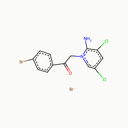 Nc1c(Cl)cc(Cl)c[n+]1CC(=O)c1ccc(Br)cc1.[Br-]